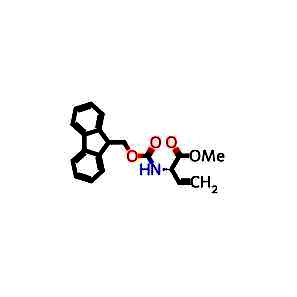 C=C[C@H](NC(=O)OCC1c2ccccc2-c2ccccc21)C(=O)OC